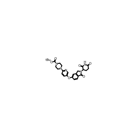 CC(C)(C)OC(=O)N1CCN(c2ccc(Oc3ccc4c(c3)CN(C3CCC(=O)NC3=O)C4=O)cn2)CC1